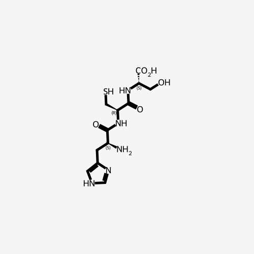 N[C@@H](Cc1c[nH]cn1)C(=O)N[C@@H](CS)C(=O)N[C@@H](CO)C(=O)O